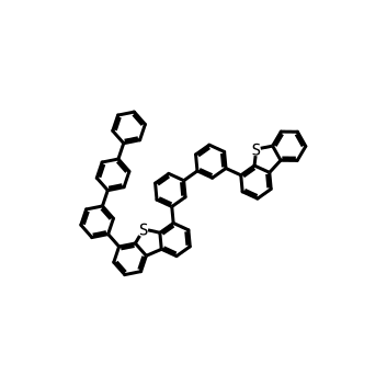 c1ccc(-c2ccc(-c3cccc(-c4cccc5c4sc4c(-c6cccc(-c7cccc(-c8cccc9c8sc8ccccc89)c7)c6)cccc45)c3)cc2)cc1